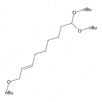 CCCCOCC=CCCCCCC(OCCCC)OCCCC